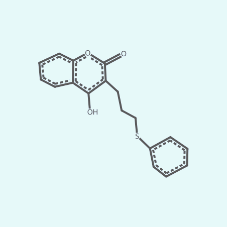 O=c1oc2ccccc2c(O)c1CCCSc1ccccc1